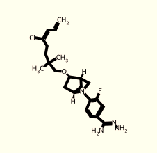 C=C/C=C(/Cl)CCC(C)(C)CO[C@@H]1C[C@@H]2C[C@H]1CN2c1ccc(/C(N)=N/N)cc1F